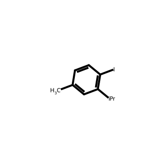 Cc1ccc(I)c(C(C)C)c1